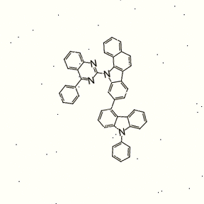 c1ccc(-c2nc(-n3c4cc(-c5cccc6c5c5ccccc5n6-c5ccccc5)ccc4c4ccc5ccccc5c43)nc3ccccc23)cc1